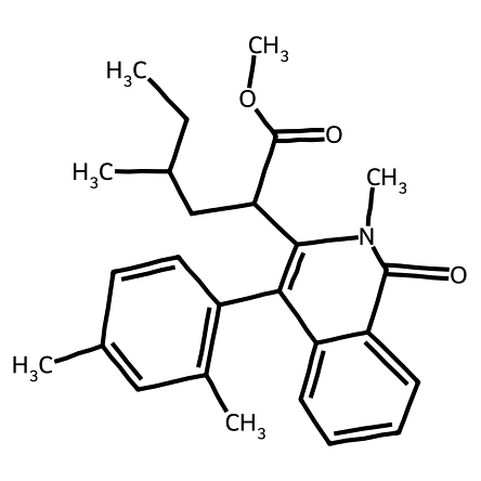 CCC(C)CC(C(=O)OC)c1c(-c2ccc(C)cc2C)c2ccccc2c(=O)n1C